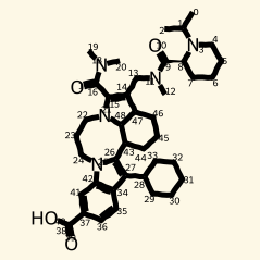 CC(C)N1CCCC[C@H]1C(=O)N(C)CC1=C(C(=O)N(C)C)N2CCCn3c(c(C4CCCCC4)c4ccc(C(=O)O)cc43)C3CCCC1C32